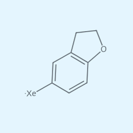 [Xe]c1ccc2c(c1)CCO2